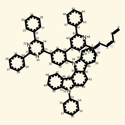 C=C/C=C\C=C(/C)c1cc(-c2cc(-c3cc(-c4ccccc4)nc(-c4ccccc4)n3)ccc2-n2c3ccccc3c3ccc4c(c5ccccc5n4-c4ccccc4)c32)cc(-c2ccccc2)n1